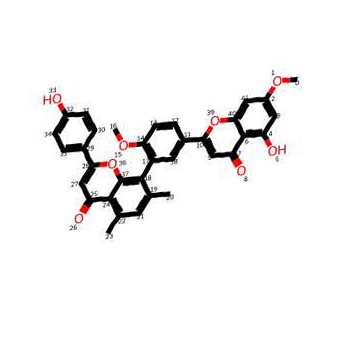 COc1cc(O)c2c(=O)cc(-c3ccc(OC)c(-c4c(C)cc(C)c5c(=O)cc(-c6ccc(O)cc6)oc45)c3)oc2c1